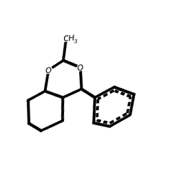 CC1OC2CCCCC2C(c2ccccc2)O1